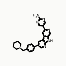 Nc1ncc(-c2cc3c(cn2)[nH]c2ncc(-c4ccc(CN5CCCCC5)cc4)cc23)cn1